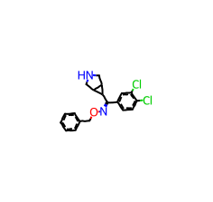 Clc1ccc(C(=NOCc2ccccc2)C2C3CNCC32)cc1Cl